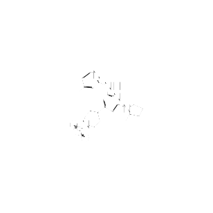 Cc1ccnc(Nc2cc(C3CCN(S(C)(=O)=O)CC3)cc(N3CCCC3C)n2)c1